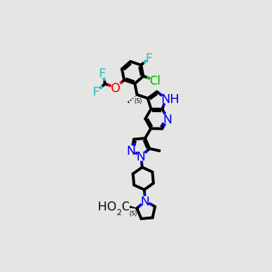 Cc1c(-c2cnc3[nH]cc([C@H](C)c4c(OC(F)F)ccc(F)c4Cl)c3c2)cnn1C1CCC(N2CCC[C@H]2C(=O)O)CC1